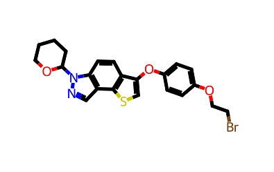 BrCCOc1ccc(Oc2csc3c2ccc2c3cnn2C2CCCCO2)cc1